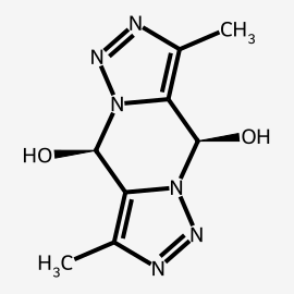 Cc1nnn2c1[C@@H](O)n1nnc(C)c1[C@H]2O